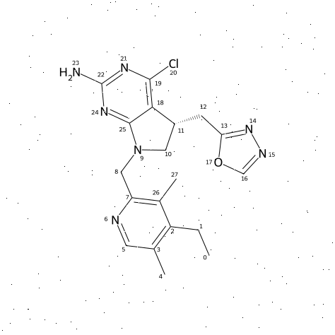 CCc1c(C)cnc(CN2C[C@@H](Cc3nnco3)c3c(Cl)nc(N)nc32)c1C